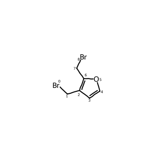 BrCc1ccoc1CBr